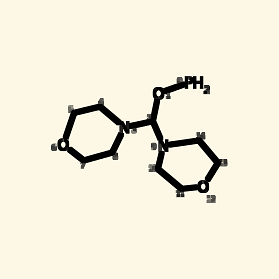 POC(N1CCOCC1)N1CCOCC1